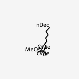 CCCCCCCCCCCCCCCCCC(=O)[Si](OC)(OC)OC